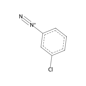 N#[N+]c1cccc(Cl)c1